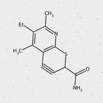 CCc1c(C)nc2c(c1C)C#CC(C(N)=O)S2